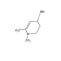 CC1=CC(C(C)(C)C)CCN1C